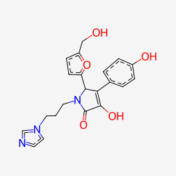 O=C1C(O)=C(c2ccc(O)cc2)C(c2ccc(CO)o2)N1CCCn1ccnc1